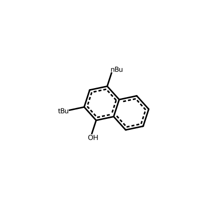 CCCCc1cc(C(C)(C)C)c(O)c2ccccc12